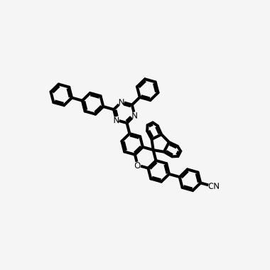 N#Cc1ccc(-c2ccc3c(c2)C2(c4cc(-c5nc(-c6ccccc6)nc(-c6ccc(-c7ccccc7)cc6)n5)ccc4O3)c3ccccc3-c3ccccc32)cc1